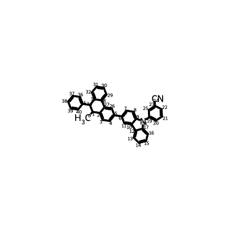 CC1c2ccc(-c3ccc4c(c3)c3ccccc3n4-c3cccc(C#N)c3)cc2-c2ccccc2C1c1ccccc1